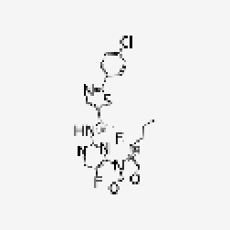 CCC[C@@H](F)[C@H]1COC(=O)N1c1nc(N[C@@H](C)c2cnc(-c3ccc(Cl)cc3)s2)ncc1F